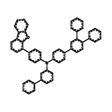 c1ccc(-c2cccc(N(c3ccc(-c4ccc(-c5ccccc5)c(-c5ccccc5)c4)cc3)c3ccc(-c4cccc5c4oc4ccccc45)cc3)c2)cc1